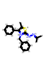 CC(C)=N/N=c1\sc(C)c(-c2ccccc2)n1Cc1ccccc1